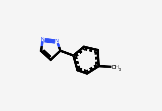 Cc1ccc(C2C=CN=N2)cc1